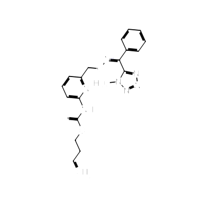 C=CCCOC(=O)Nc1cccc(CO/N=C(/c2ccccc2)c2nnnn2C)n1